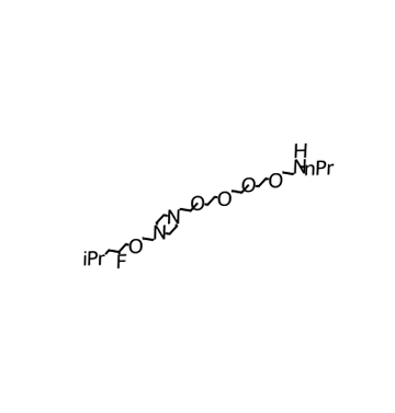 CCCNCCOCCOCCOCCOCCN1CCN(CCOCC(F)CC(C)C)CC1